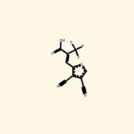 N#Cc1csc(/C=C(/C(=O)O)C(F)(F)F)c1C#N